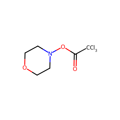 O=C(ON1CCOCC1)C(Cl)(Cl)Cl